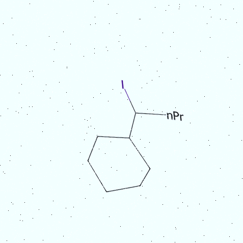 [CH2]CCC(I)C1CCCCC1